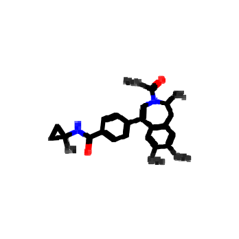 CNC(=O)N1C=C(c2ccc(C(=O)NC3(C#N)CC3)cc2)c2cc(OC)c(OC)cc2CC1C